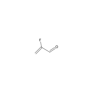 C=C(F)C=O